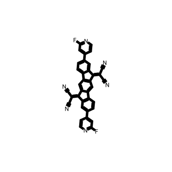 N#CC(C#N)=C1c2cc(-c3ccnc(F)c3)ccc2-c2cc3c(cc21)-c1ccc(-c2ccnc(F)c2)cc1C3=C(C#N)C#N